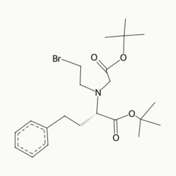 CC(C)(C)OC(=O)CN(CCBr)[C@@H](CCc1ccccc1)C(=O)OC(C)(C)C